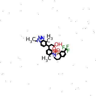 CCn1nnc2c(C)c(C(CC(=O)O)c3ccc(C)c(N4CCCc5ccc(C(F)(F)F)cc5S4(=O)=O)c3)ccc21